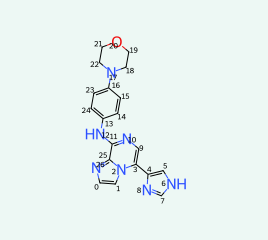 c1cn2c(-c3c[nH]cn3)cnc(Nc3ccc(N4CCOCC4)cc3)c2n1